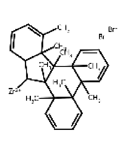 CC1=CC=CC2[CH]([Zr+2])C3(C)C4(C)C=CC=CC4(C)C4(C)C=CC=CC4(C)C3(C)C12C.[Br-].[Br-]